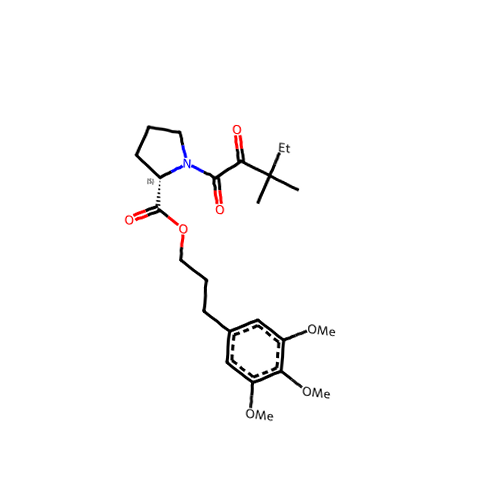 CCC(C)(C)C(=O)C(=O)N1CCC[C@H]1C(=O)OCCCc1cc(OC)c(OC)c(OC)c1